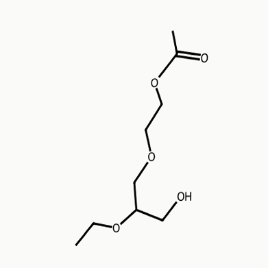 CCOC(CO)COCCOC(C)=O